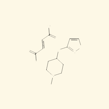 CN1CCC(Oc2ccon2)CC1.O=C(O)C=CC(=O)O